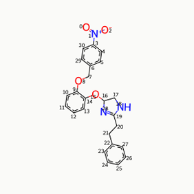 O=[N+]([O-])c1ccc(COc2ccccc2OC2CNC(CCc3ccccc3)=N2)cc1